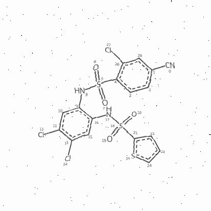 N#Cc1ccc(S(=O)(=O)Nc2cc(Cl)c(Cl)cc2NS(=O)(=O)c2cccs2)c(Cl)c1